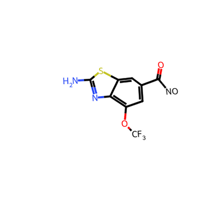 Nc1nc2c(OC(F)(F)F)cc(C(=O)N=O)cc2s1